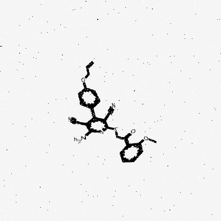 C=CCOc1ccc(-c2c(C#N)c(N)nc(SCC(=O)c3ccccc3OC)c2C#N)cc1